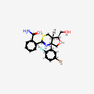 NC(=O)c1ccccc1C1=N[C@@]2(c3cc(Br)ccc3F)CO[C@H](CO)[C@H]2CS1